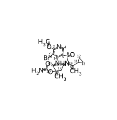 COc1ncc(C(=O)N[C@@H](C)C2CC2)c(N2CCC(C)(OC(N)=O)C2)c1Br